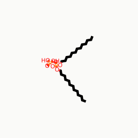 CCCCCCCCCCCCCOP(=O)(OCCCCCCCCCCCCC)OP(=O)(O)O